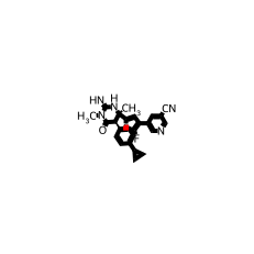 CN1C(=N)N[C@](C)(c2cc(-c3cncc(C#N)c3)c(F)s2)[C@@H](c2ccc(C3CC3)cc2)C1=O